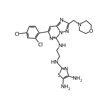 Nc1nc(NCCNc2nc(-c3ccc(Cl)cc3Cl)cc3nc(CN4CCOCC4)nn23)sc1N